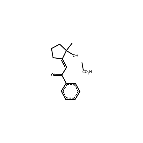 CC(=O)O.CC1(O)CCCC1=CC(=O)c1ccccc1